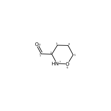 O=[C]C1CCCON1